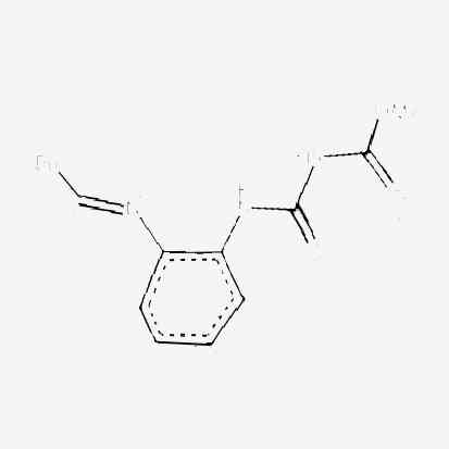 COC(=O)NC(=S)Nc1ccccc1N=CC(C)(C)C